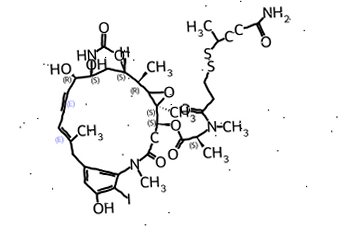 C/C1=C\C=C\[C@@H](O)[C@@]2(O)C[C@H](OC(=O)N2)[C@@H](C)C2O[C@@]2(C)[C@@H](OC(=O)[C@H](C)N(C)C(=O)CCSSC(C)CCC(N)=O)CC(=O)N(C)c2cc(cc(O)c2I)C1